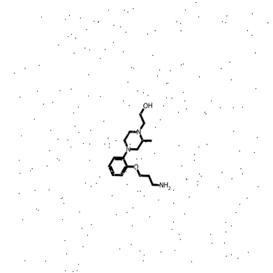 CC1CN(c2ccccc2OCCCN)CCN1CCO